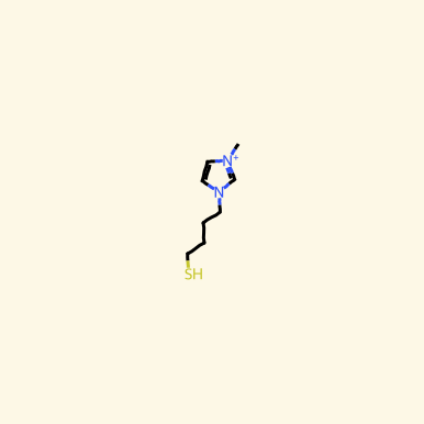 C[n+]1ccn(CCCCS)c1